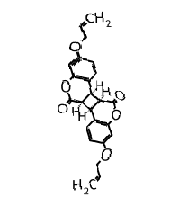 C=CCOc1ccc2c(c1)OC(=O)[C@H]1[C@@H]2[C@H]2C(=O)Oc3cc(OCC=C)ccc3[C@H]21